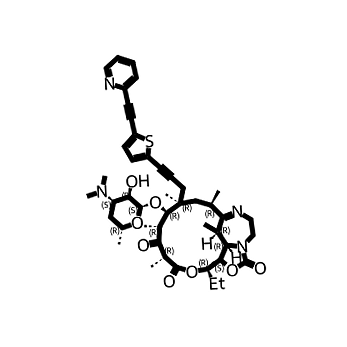 CC[C@H]1OC(=O)[C@H](C)C(=O)[C@H](C)[C@@H](O[C@@H]2O[C@H](C)C[C@H](N(C)C)[C@H]2O)[C@@](C)(CC#Cc2ccc(C#Cc3ccccn3)s2)C[C@@H](C)C2=NCCN3C(=O)O[C@@]1(C)[C@H]3[C@H]2C